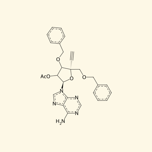 C#C[C@]1(COCc2ccccc2)O[C@@H](n2cnc3c(N)ncnc32)C(OC(C)=O)C1OCc1ccccc1